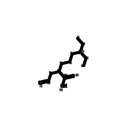 CCN(CC)CCCC(CC=O)C(=O)O